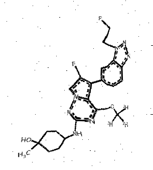 [2H]C([2H])([2H])Oc1nc(NC2CCC(C)(O)CC2)nn2cc(F)c(-c3ccc4nnn(CCF)c4c3)c12